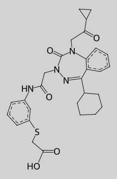 O=C(O)CSc1cccc(NC(=O)CN2N=C(C3CCCCC3)c3ccccc3N(CC(=O)C3CC3)C2=O)c1